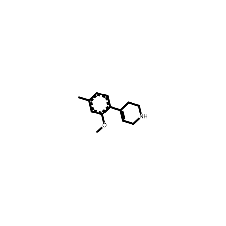 COc1cc(C)ccc1C1=CCNCC1